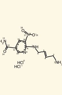 Cl.Cl.NC/C=C/CNc1ncc(C(N)=O)cc1[N+](=O)[O-]